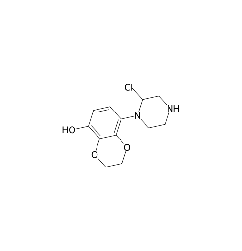 Oc1ccc(N2CCNCC2Cl)c2c1OCCO2